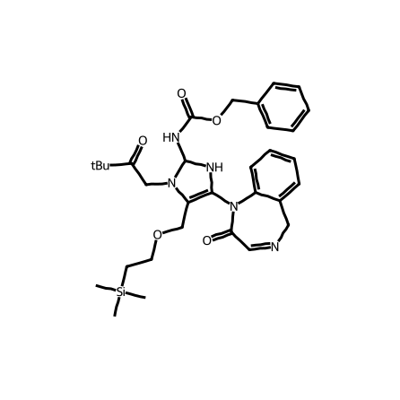 CC(C)(C)C(=O)CN1C(COCC[Si](C)(C)C)=C(N2C(=O)C=NCc3ccccc32)NC1NC(=O)OCc1ccccc1